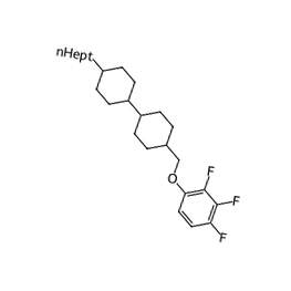 CCCCCCCC1CCC(C2CCC(COc3ccc(F)c(F)c3F)CC2)CC1